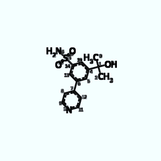 CC(C)(O)c1cc(-c2ccncc2)cc(S(N)(=O)=O)c1